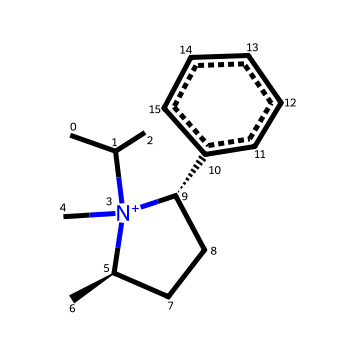 CC(C)[N+]1(C)[C@H](C)CC[C@H]1c1ccccc1